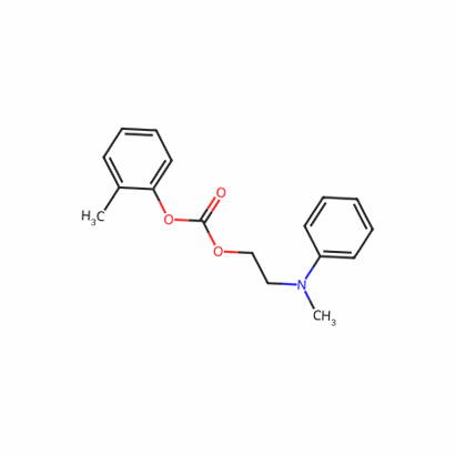 Cc1ccccc1OC(=O)OCCN(C)c1ccccc1